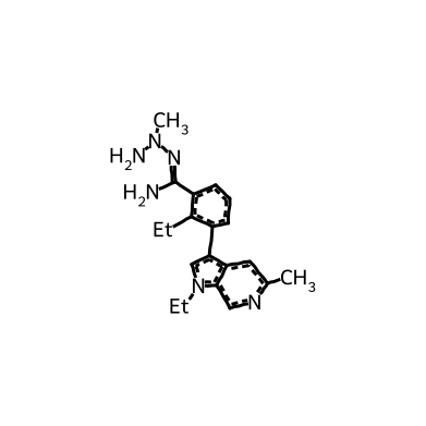 CCc1c(/C(N)=N/N(C)N)cccc1-c1cn(CC)c2cnc(C)cc12